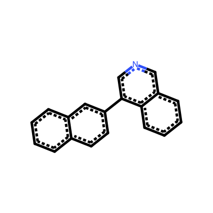 c1ccc2cc(-c3cncc4ccccc34)ccc2c1